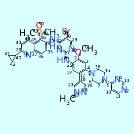 COc1cc(N2CCN(c3ccncn3)CC2)c(-c2cnn(C)c2)cc1Nc1ncc(Br)c(Nc2ccc3nc(C4CC4)ccc3c2P(C)(C)=O)n1